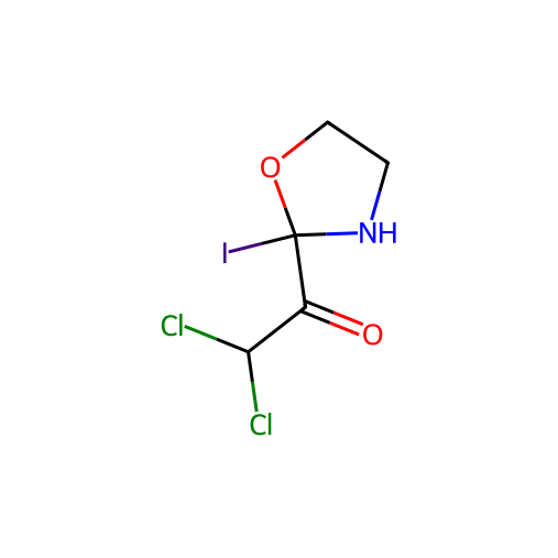 O=C(C(Cl)Cl)C1(I)NCCO1